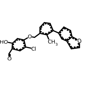 Cc1c(COc2cc(O)c(C=O)cc2Cl)cccc1-c1ccc2occc2c1